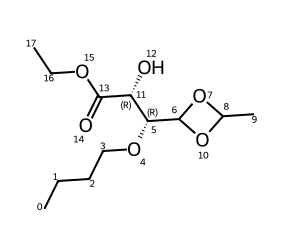 CCCCO[C@@H](C1OC(C)O1)[C@@H](O)C(=O)OCC